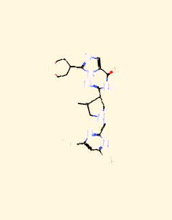 CC1CN(Cc2nc(C(F)(F)F)cc(C(F)(F)F)n2)CC1c1nn2c(C3CCOCC3)ncc2c(=O)[nH]1